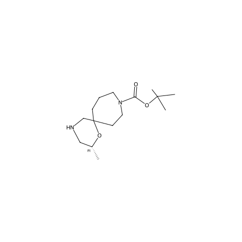 C[C@@H]1CNCC2(CCCN(C(=O)OC(C)(C)C)CC2)O1